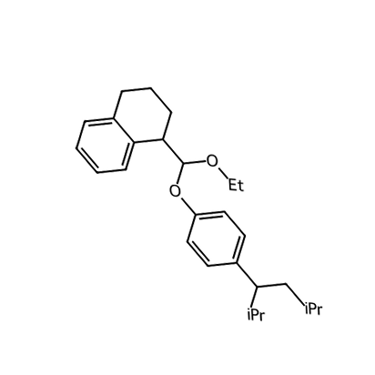 CCOC(Oc1ccc(C(CC(C)C)C(C)C)cc1)C1CCCc2ccccc21